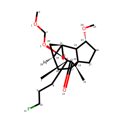 COCO[C@@H]1C[C@@](C)(CCCF)C(=O)[C@H](C)C23CC[C@H]4C[C@]41C2[C@H](OC)CC3